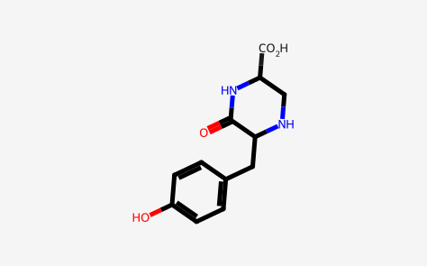 O=C(O)C1CNC(Cc2ccc(O)cc2)C(=O)N1